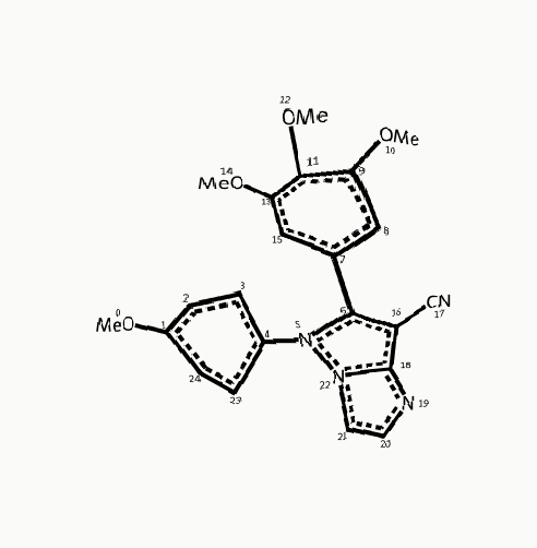 COc1ccc(-n2c(-c3cc(OC)c(OC)c(OC)c3)c(C#N)c3nccn32)cc1